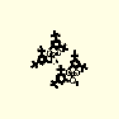 CCOP(Oc1c(C)cc(C(C)(C)C)cc1C(C)(C)C)Oc1c(C)cc(C(C)(C)C)cc1C(C)(C)C.COP(Oc1c(C)cc(C(C)(C)C)cc1C(C)(C)C)Oc1c(C)cc(C(C)(C)C)cc1C(C)(C)C